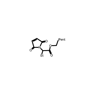 CCCC(C)COC(=O)C(CC)N1C(=O)C=CC1=O